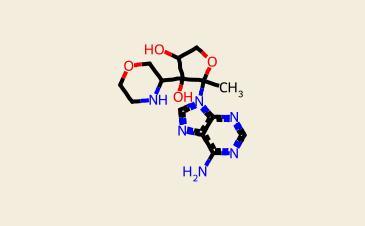 CC1(n2cnc3c(N)ncnc32)OCC(O)C1(O)C1COCCN1